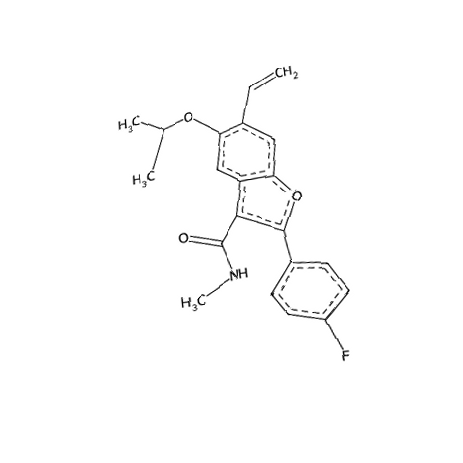 C=Cc1cc2oc(-c3ccc(F)cc3)c(C(=O)NC)c2cc1OC(C)C